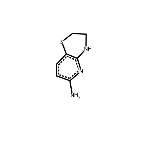 Nc1ccc2c(n1)NCCS2